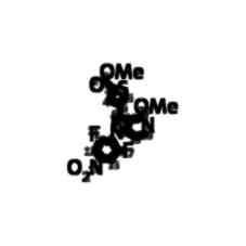 COC(=O)c1cc(-c2cn(-c3c(F)cc([N+](=O)[O-])cc3F)c3ccnc(OC)c23)cs1